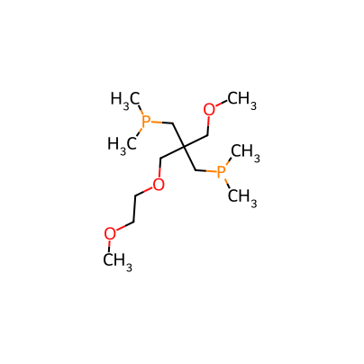 COCCOCC(COC)(CP(C)C)CP(C)C